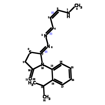 CN\C=C/C=N/N=C1\SCC(=O)N1c1ccccc1C(C)C